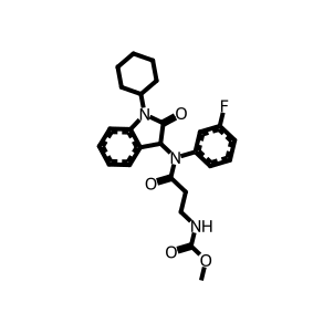 COC(=O)NCCC(=O)N(c1cccc(F)c1)C1C(=O)N(C2CCCCC2)c2ccccc21